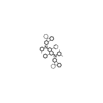 Cc1cccc(N(c2ccc3c(c2)-c2ccccc2C32CCCCC2)c2cc(C3=CCCC=C3)c3cc(N(c4cc(C)cc(C)c4)c4ccc5c(c4)-c4ccccc4C54CCCCC4)cc(-c4ccccc4)c3c2)c1